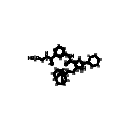 O=C(O)CNC(=O)c1cccc(NC(=O)c2nc(C3CCCCC3)[nH]c2CCC23CC4CC(CC(C4)C2)C3)c1